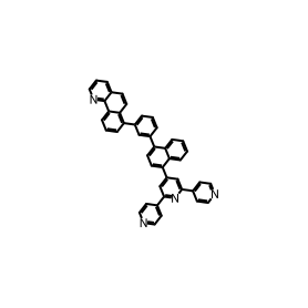 c1cc(-c2ccc(-c3cc(-c4ccncc4)nc(-c4ccncc4)c3)c3ccccc23)cc(-c2cccc3c2ccc2cccnc23)c1